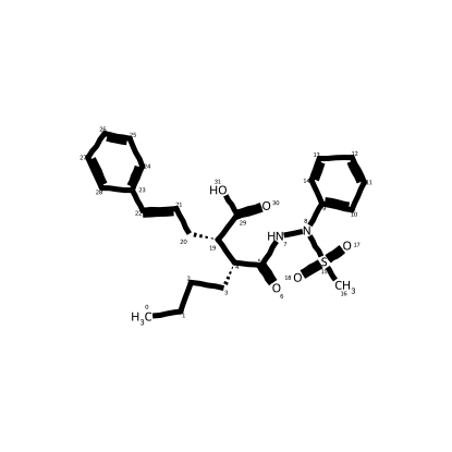 CCCC[C@@H](C(=O)NN(c1ccccc1)S(C)(=O)=O)[C@H](CC=Cc1ccccc1)C(=O)O